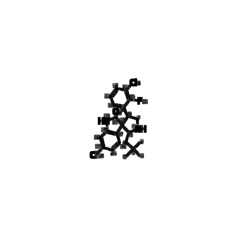 CC(C)(C)CC1NCC(c2cccc(Cl)c2F)C12C(=O)Nc1cc(Cl)ccc12